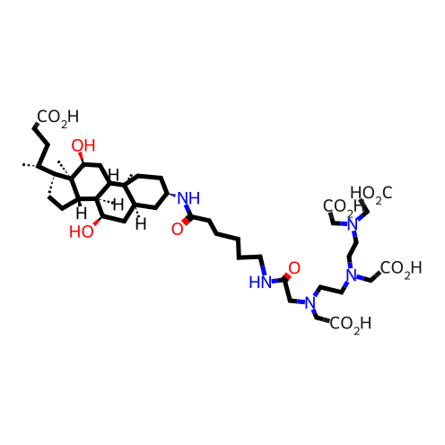 C[C@H](CCC(=O)O)[C@H]1CC[C@H]2[C@@H]3[C@H](O)C[C@@H]4C[C@@H](NC(=O)CCCCCNC(=O)CN(CCN(CCN(CC(=O)O)CC(=O)O)CC(=O)O)CC(=O)O)CC[C@]4(C)[C@H]3C[C@H](O)[C@]12C